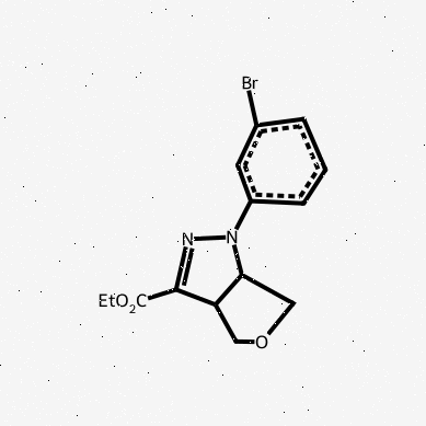 CCOC(=O)C1=NN(c2cccc(Br)c2)C2COCC12